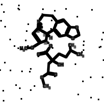 COC(=O)CC(O)(CCC(C)C)C(=O)O[C@@H]1C(OC)=C[C@]23CCCN2CCc2cc4c(cc2[C@H]13)OCO4